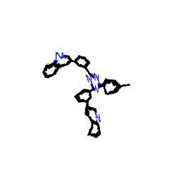 Cc1ccc(-c2nc(-c3cccc(-c4cnc5ccccc5c4)c3)nc(-c3cccc(-c4cnc5ccccc5c4)c3)n2)cc1